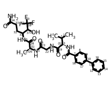 CC(C)[C@H](NC(=O)c1ccc(-c2ccccc2)cc1)C(=O)NCC(=O)N[C@@H](C)C(=O)NC(CCC(N)=O)C(O)C(F)(F)F